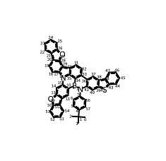 CC(C)(C)c1ccc(N2B3c4cc5c(cc4-n4c6ccc7c8ccccc8oc7c6c6ccc(c3c64)-c3cc4c(cc32)sc2ccccc24)oc2ccccc25)cc1